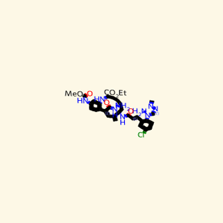 C=N/N=C\N(N)c1ccc(Cl)cc1/C=C/C(=O)NC1CCCC[C@H](C(=O)OCC)Nc2cc(NC(=O)OC)ccc2/C(C(=O)NN)=C/C1=C